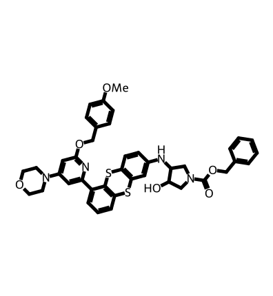 COc1ccc(COc2cc(N3CCOCC3)cc(-c3cccc4c3Sc3ccc(NC5CN(C(=O)OCc6ccccc6)CC5O)cc3S4)n2)cc1